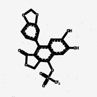 O=C1OCc2c1c(-c1ccc3c(c1)OCO3)c1cc(O)c(O)cc1c2OS(=O)(=O)C(F)(F)F